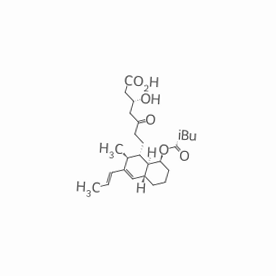 C/C=C/C1=C[C@H]2CCC[C@H](OC(=O)[C@@H](C)CC)[C@@H]2[C@@H](CCC(=O)C[C@@H](O)CC(=O)O)[C@@H]1C